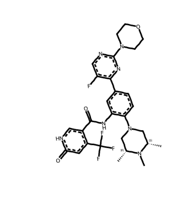 C[C@@H]1CN(c2ccc(-c3nc(N4CCOCC4)ncc3F)cc2NC(=O)c2c[nH]c(=O)cc2C(F)(F)F)C[C@H](C)N1C